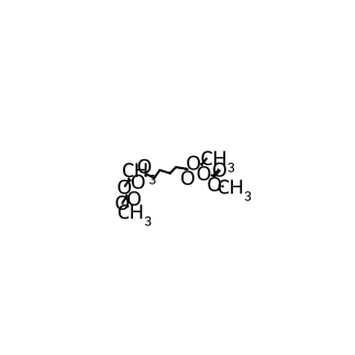 COC(=O)OC(C)OC(=O)CCCCC(=O)OC(C)OC(=O)OC